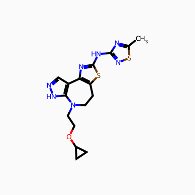 Cc1nc(Nc2nc3c(s2)CCN(CCOC2CC2)c2[nH]ncc2-3)ns1